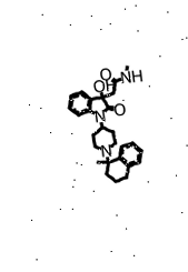 CNC(=O)CC1(O)C(=O)N(C2CCN(C3(C)CCCc4ccccc43)CC2)c2ccccc21